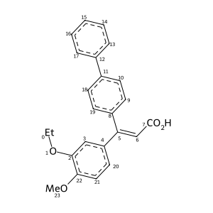 CCOc1cc(C(=CC(=O)O)c2ccc(-c3ccccc3)cc2)ccc1OC